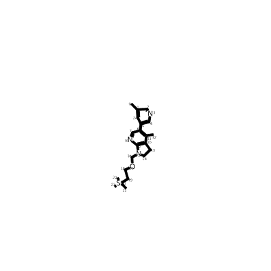 Cc1cncc(-c2cnc3c(c2C)CCN3COCC[Si](C)(C)C)c1